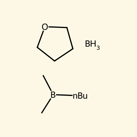 B.C1CCOC1.CCCCB(C)C